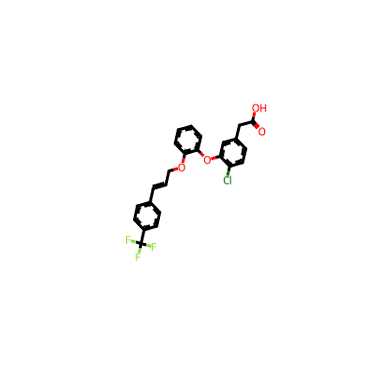 O=C(O)Cc1ccc(Cl)c(Oc2ccccc2OCC=Cc2ccc(C(F)(F)F)cc2)c1